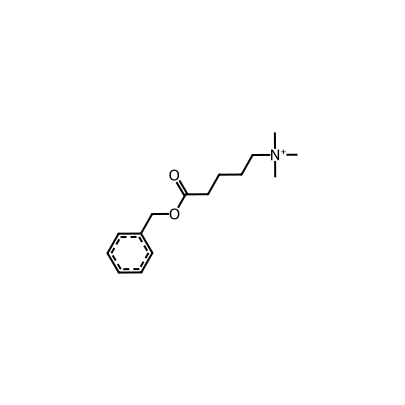 C[N+](C)(C)CCCCC(=O)OCc1ccccc1